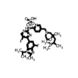 CS(=O)(=O)O.Cc1nc2c(F)cc(-c3nc(Nc4ccc(CN5CCOC(C)(CC(C)N(C)C)C5)cn4)ncc3F)cc2n1C(C)C